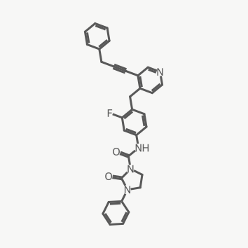 O=C(Nc1ccc(Cc2ccncc2C#CCc2ccccc2)c(F)c1)N1CCN(c2ccccc2)C1=O